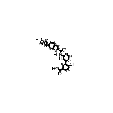 CS(=O)(=O)Nc1ccc2cc(C(=O)Nc3cc(-c4cc(C(=O)O)ccc4Cl)ccn3)[nH]c2c1